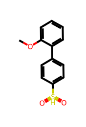 COc1ccccc1-c1ccc([SH](=O)=O)cc1